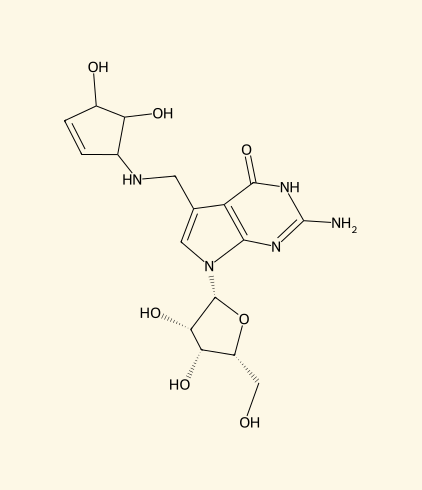 Nc1nc2c(c(CNC3C=CC(O)C3O)cn2[C@@H]2O[C@H](CO)[C@H](O)[C@@H]2O)c(=O)[nH]1